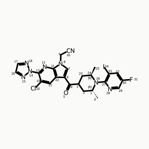 C[C@@H]1CC(C(=O)c2cn(CC#N)c3nc(-n4nccn4)c(Cl)cc23)C[C@@H](C)N1c1ncc(F)cc1I